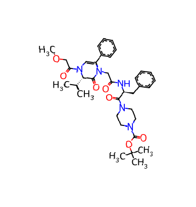 COCC(=O)N1C=C(c2ccccc2)N(CC(=O)N[C@@H](Cc2ccccc2)C(=O)N2CCN(C(=O)OC(C)(C)C)CC2)C(=O)[C@@H]1C(C)C